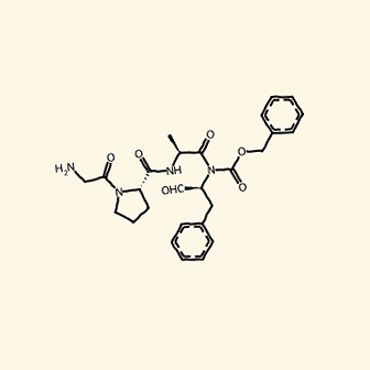 C[C@H](NC(=O)[C@@H]1CCCN1C(=O)CN)C(=O)N(C(=O)OCc1ccccc1)[C@H](C=O)Cc1ccccc1